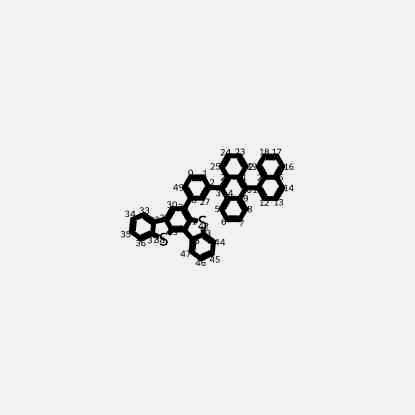 c1cc(-c2c3ccccc3c(-c3cccc4ccccc34)c3ccccc23)cc(-c2cc3c4ccccc4sc3c3c2sc2ccccc23)c1